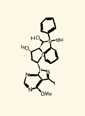 COc1ncnc2c1c(I)nn2[C@H]1C[C@H](O)[C@@H](C(O)[Si](c2ccccc2)(c2ccccc2)C(C)(C)C)O1